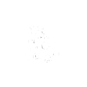 Cc1noc(C)c1-c1ccc(S(=O)(=O)Nc2ccccc2CNC(C)CC2CCCCC2)cc1